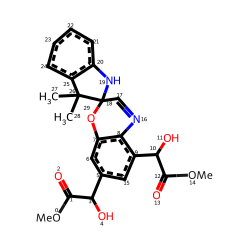 COC(=O)C(O)c1cc2c(c(C(O)C(=O)OC)c1)N=CC1(Nc3ccccc3C1(C)C)O2